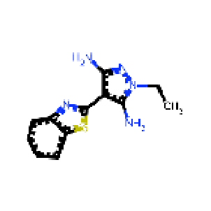 CCn1nc(N)c(-c2nc3ccccc3s2)c1N